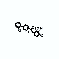 O=C(Nc1ccc(Cl)cc1S(=O)(=O)O)c1ccc(-c2ncccc2Cl)cn1